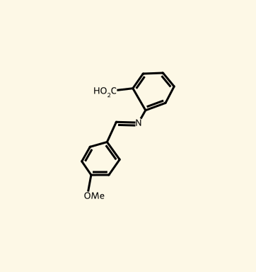 COc1ccc(C=Nc2ccccc2C(=O)O)cc1